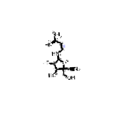 N#CC1(CO)OC(N/C=C\C(=N)N)C(F)C1O